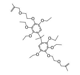 C=C(C)COCCOc1c(OCC)cc(C(C)(C)c2cc(OCC)c(OCCOCC(=C)C)c(OCC)c2OCC)c(OCC)c1OCC